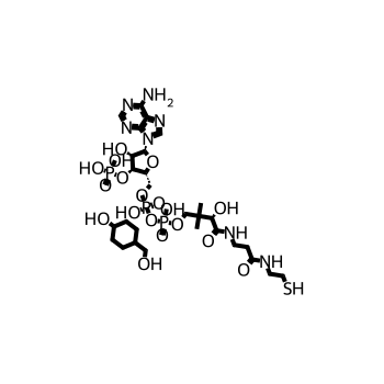 CC(C)(COP(=O)(O)OP(=O)(O)OC[C@H]1O[C@@H](n2cnc3c(N)ncnc32)[C@H](O)[C@@H]1OP(=O)(O)O)[C@@H](O)C(=O)NCCC(=O)NCCS.OCC1CCC(O)CC1